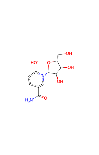 NC(=O)c1ccc[n+](C2O[C@H](CO)[C@@H](O)[C@H]2O)c1.[OH-]